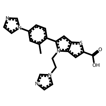 Cc1cc(-n2ccnc2)ccc1-c1cc2sc(C(=O)O)cc2n1CCn1ccnc1